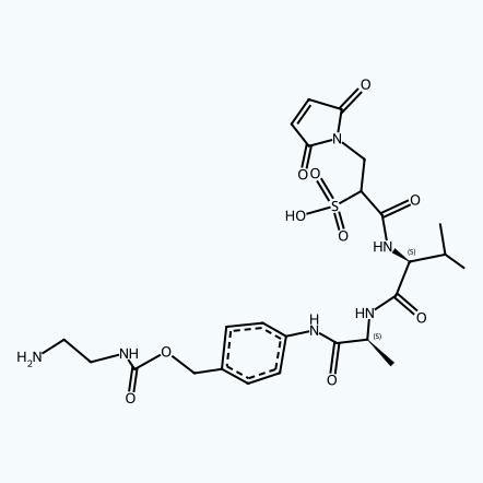 CC(C)[C@H](NC(=O)C(CN1C(=O)C=CC1=O)S(=O)(=O)O)C(=O)N[C@@H](C)C(=O)Nc1ccc(COC(=O)NCCN)cc1